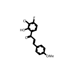 COc1ccc(/C=C/C(=O)c2ccc(F)c(Cl)c2O)cc1